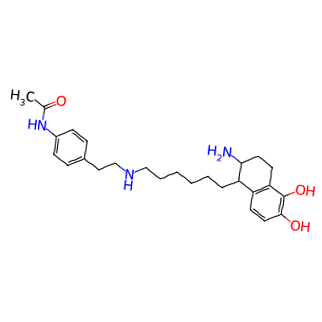 CC(=O)Nc1ccc(CCNCCCCCCC2c3ccc(O)c(O)c3CCC2N)cc1